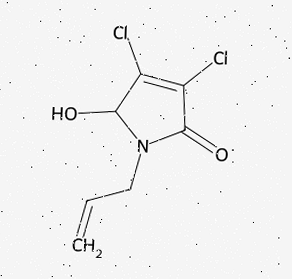 C=CCN1C(=O)C(Cl)=C(Cl)C1O